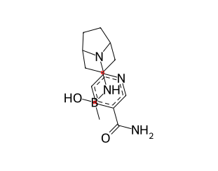 CB(O)NC1CC2CCC(C1)N2c1ccc(C(N)=O)cn1